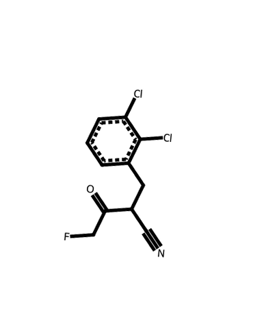 N#CC(Cc1cccc(Cl)c1Cl)C(=O)CF